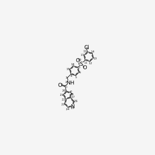 O=C(NCc1ccc(S(=O)(=O)c2cccc(Cl)c2)cc1)c1cc2ccncc2s1